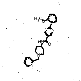 COc1ccccc1-c1ncc(C(=O)NC2CCN(Cc3ccccn3)CC2)cn1